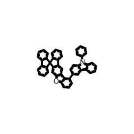 c1ccc(-n2c3ccccc3c3cc(-c4cccc5oc6cc7c(cc6c45)-c4ccccc4C74c5ccccc5-c5ccccc54)ccc32)cc1